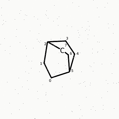 C1CC2CCC1CC2